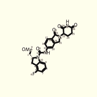 COC[C@H]1Cc2c(F)cccc2N1C(=O)Nc1ccc2c(c1)CN(C1CCC(=O)NC1=O)C2=O